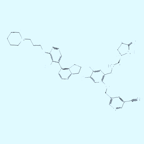 Cc1c(OCCCN2CCCCC2)cccc1-c1cccc2c1CC[C@@H]2Oc1cc(OCc2cncc(C#N)c2)c(CNC[C@H]2CCC(=O)N2)cc1Cl